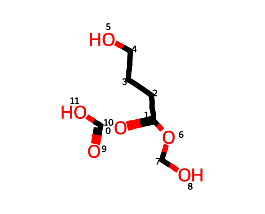 O=C(CCCO)OCO.O=CO